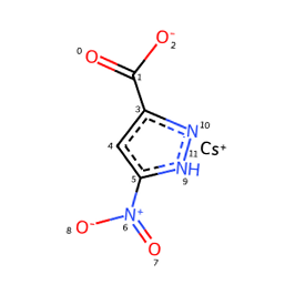 O=C([O-])c1cc([N+](=O)[O-])[nH]n1.[Cs+]